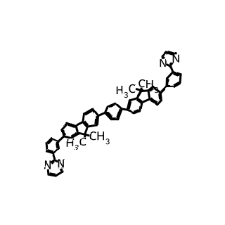 CC1(C)c2cc(-c3ccc(-c4ccc5c(c4)C(C)(C)c4cc(-c6cccc(-c7ncccn7)c6)ccc4-5)cc3)ccc2-c2ccc(-c3cccc(-c4ncccn4)c3)cc21